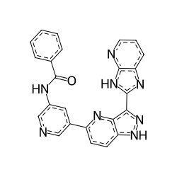 O=C(Nc1cncc(-c2ccc3[nH]nc(-c4nc5cccnc5[nH]4)c3n2)c1)c1ccccc1